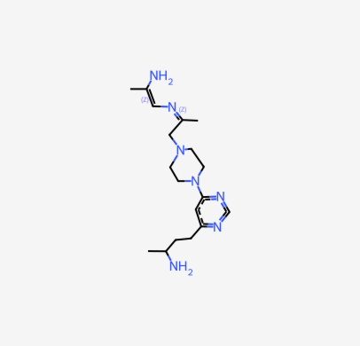 C/C(N)=C/N=C(/C)CN1CCN(c2cc(CCC(C)N)ncn2)CC1